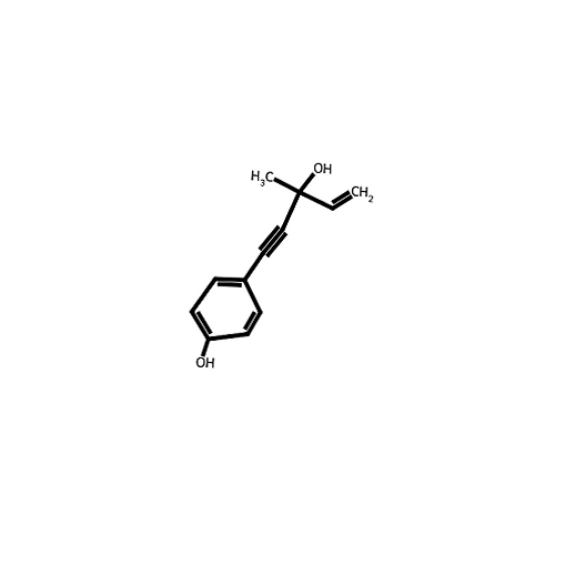 C=CC(C)(O)C#Cc1ccc(O)cc1